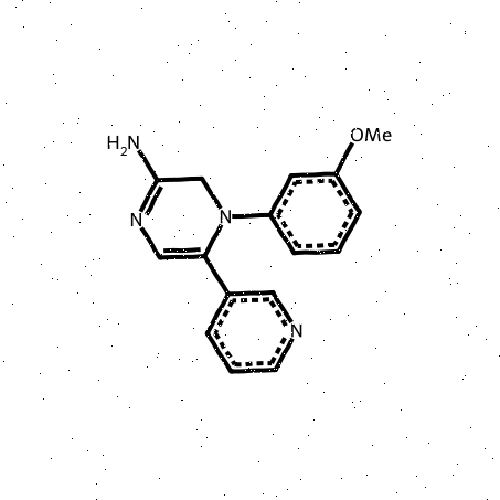 COc1cccc(N2CC(N)=NC=C2c2cccnc2)c1